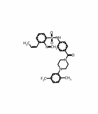 C=Nc1c(/C=C\C)cccc1S(=O)(=O)Nc1ccc(C(=O)N2CCN(c3cc(C(F)(F)F)ccc3C)CC2)cc1